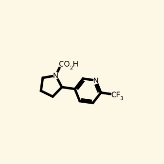 O=C(O)N1CCCC1c1ccc(C(F)(F)F)nc1